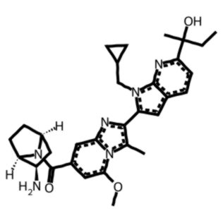 CCC(C)(O)c1ccc2cc(-c3nc4cc(C(=O)N5[C@H]6CC[C@@H]5[C@H](N)C6)cc(OC)n4c3C)n(CC3CC3)c2n1